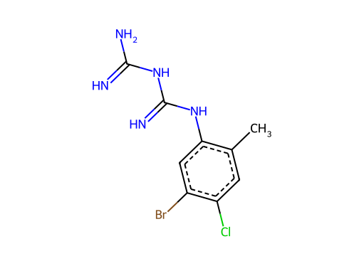 Cc1cc(Cl)c(Br)cc1NC(=N)NC(=N)N